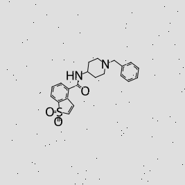 O=C(NC1CCN(Cc2ccccc2)CC1)c1cccc2c1C=CS2(=O)=O